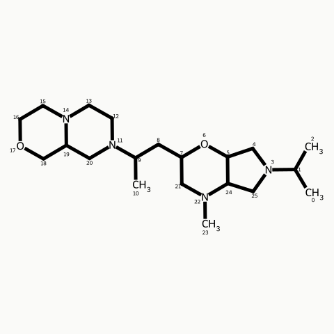 CC(C)N1CC2OC(CC(C)N3CCN4CCOCC4C3)CN(C)C2C1